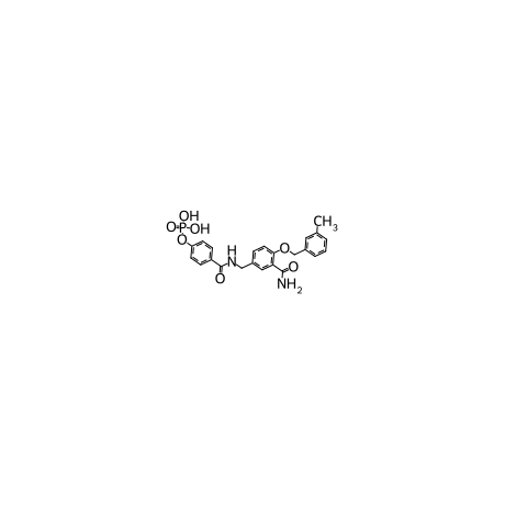 Cc1cccc(COc2ccc(CNC(=O)c3ccc(OP(=O)(O)O)cc3)cc2C(N)=O)c1